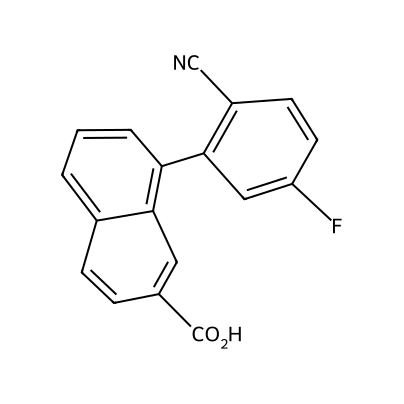 N#Cc1ccc(F)cc1-c1cccc2ccc(C(=O)O)cc12